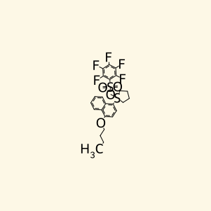 CCCCOc1ccc(S2(OS(=O)(=O)c3c(F)c(F)c(F)c(F)c3F)CCCC2)c2ccccc12